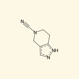 N#CN1CCc2[nH]ncc2C1